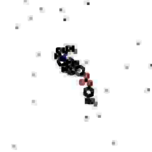 C[C@H]1[C@H]2CC[C@H]3[C@@H]4CC=C5C[C@@H](OC(=O)Oc6ccc([N+](=O)[O-])cc6)CC[C@]5(C)[C@H]4CC[C@]23CN1C